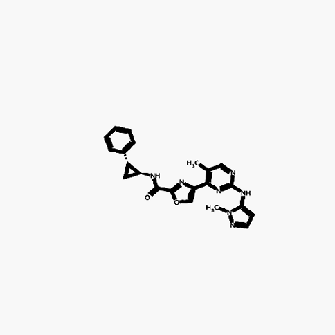 Cc1cnc(Nc2ccnn2C)nc1-c1coc(C(=O)N[C@H]2C[C@@H]2c2ccccc2)n1